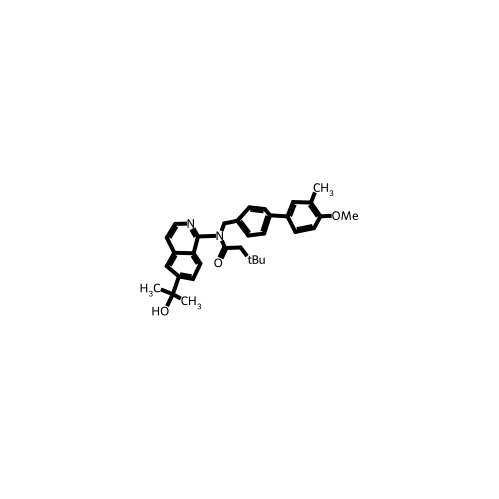 COc1ccc(-c2ccc(CN(C(=O)CC(C)(C)C)c3nccc4cc(C(C)(C)O)ccc34)cc2)cc1C